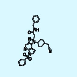 N#CCC1CCC(n2c(CC(=O)NCc3ccccc3)nc3cnc4c(ccn4S(=O)(=O)c4ccccc4)c32)CC1